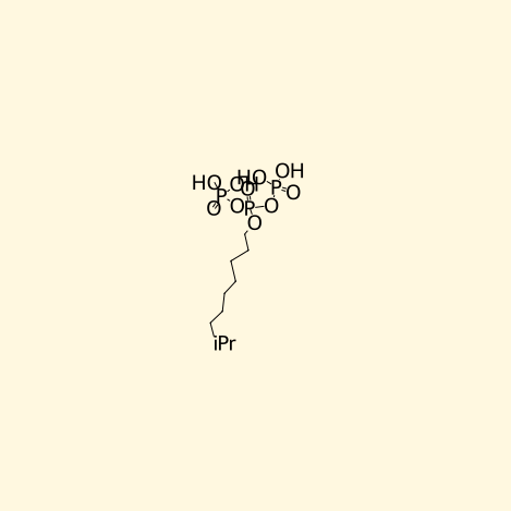 CC(C)CCCCCCCOP(=O)(OP(=O)(O)O)OP(=O)(O)O